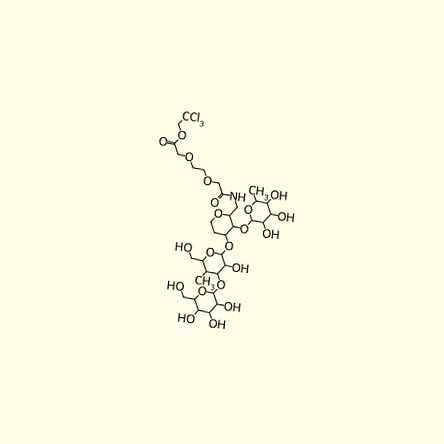 CC1OC(OC2C(CNC(=O)COCCOCC(=O)OCC(Cl)(Cl)Cl)OCCC2OC2OC(CO)C(C)C(OC3OC(CO)C(O)C(O)C3O)C2O)C(O)C(O)C1O